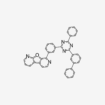 c1ccc(-c2cccc(-c3nc(-c4ccccc4)nc(-c4cccc(-c5nccc6c5oc5ncccc56)c4)n3)c2)cc1